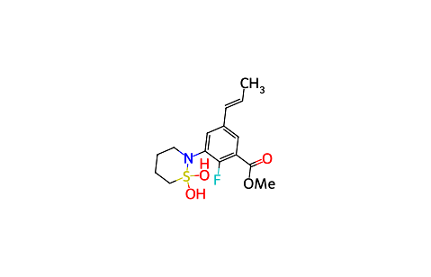 CC=Cc1cc(C(=O)OC)c(F)c(N2CCCCS2(O)O)c1